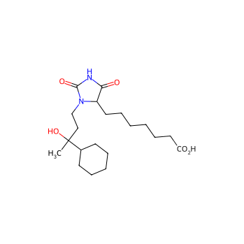 CC(O)(CCN1C(=O)NC(=O)C1CCCCCCC(=O)O)C1CCCCC1